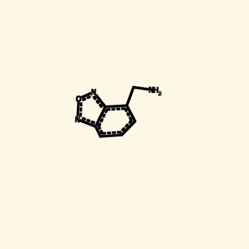 NCc1cccc2nonc12